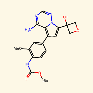 COc1cc(-c2cc(C3(O)COC3)n3ncnc(N)c23)ccc1NC(=O)OC(C)(C)C